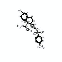 Cc1ccc(S(=O)(=O)OCC[C@]2(O)CCc3cc(F)ccc3[C@@H]2C(C)C)cc1